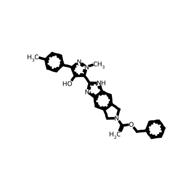 C=C(OCc1ccccc1)N1Cc2cc3nc(-c4c(O)c(-c5ccc(C)cc5)nn4C)[nH]c3cc2C1